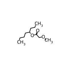 CCCCC(CCC)OC(=O)COC